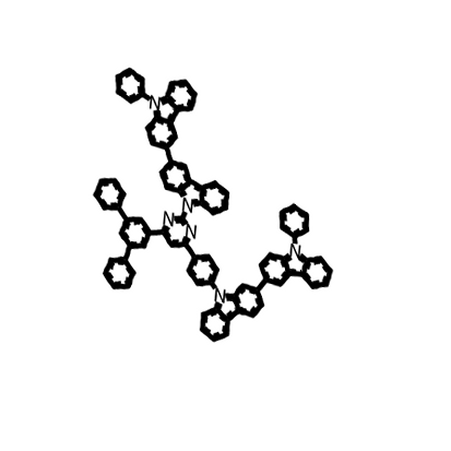 c1ccc(-c2cc(-c3ccccc3)cc(-c3cc(-c4ccc(-n5c6ccccc6c6ccc(-c7ccc8c(c7)c7ccccc7n8-c7ccccc7)cc65)cc4)nc(-n4c5ccccc5c5cc(-c6ccc7c(c6)c6ccccc6n7-c6ccccc6)ccc54)n3)c2)cc1